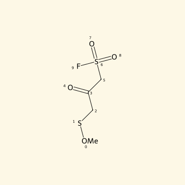 COSCC(=O)CS(=O)(=O)F